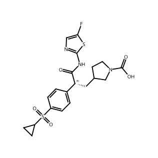 O=C(Nc1ncc(F)s1)[C@H](CC1CCN(C(=O)O)C1)c1ccc(S(=O)(=O)C2CC2)cc1